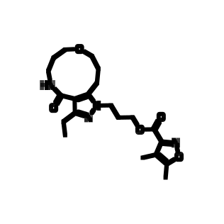 CCc1nn(CCCOC(=O)c2noc(C)c2C)c2c1C(=O)NCCCOCCC2